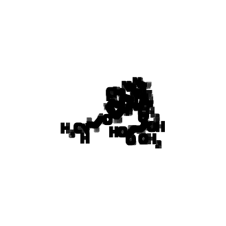 CNCCCOc1cc(F)c(-c2c(Cl)nc3ncnn3c2N[C@@H](C)C(F)(F)F)c(F)c1.O.O=C(O)/C=C/C(=O)O